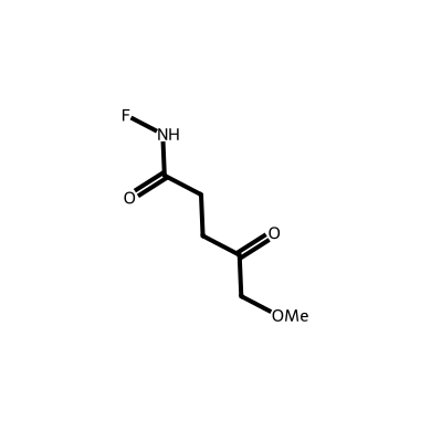 COCC(=O)CCC(=O)NF